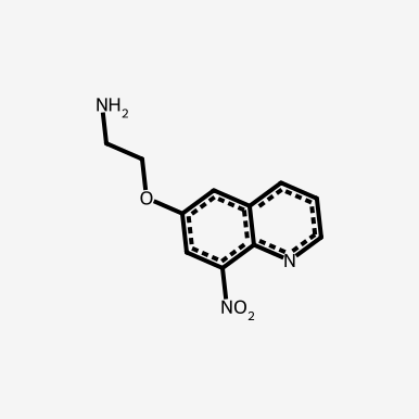 NCCOc1cc([N+](=O)[O-])c2ncccc2c1